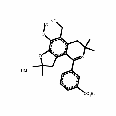 CCOC(=O)c1cccc(C2=NC(C)(C)Cc3c(CC#N)c(OCC)c4c(c32)CC(C)(C)O4)c1.Cl